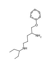 CCC(CC)NCCCC(N)COc1ccccc1